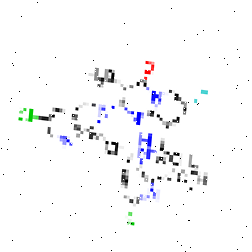 Bc1c(N2Cc3cc(Cl)cnc3[C@H]2C)nc2c([C@@H](C)Nc3ccc(Cl)nc3C(=O)O)cc(F)cn2c1=O